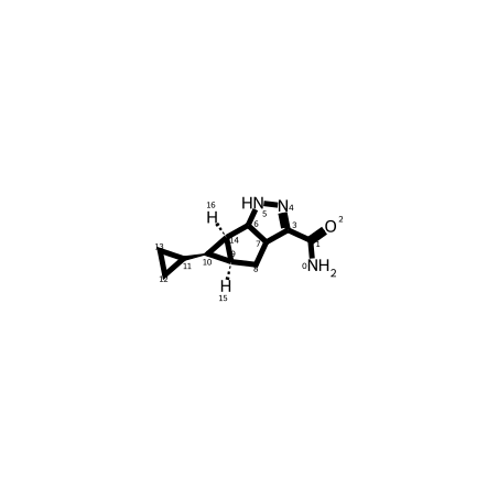 NC(=O)C1=NNC2C1C[C@H]1[C@@H](C3CC3)[C@@H]21